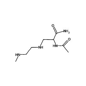 CNCCNCC(NC(C)=O)C(N)=O